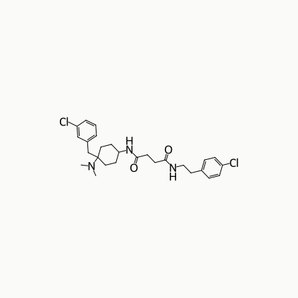 CN(C)C1(Cc2cccc(Cl)c2)CCC(NC(=O)CCC(=O)NCCc2ccc(Cl)cc2)CC1